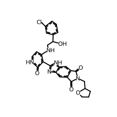 O=C1c2cc3nc(-c4c(NCC(O)c5cccc(Cl)c5)cc[nH]c4=O)[nH]c3cc2C(=O)N1CC1CCCO1